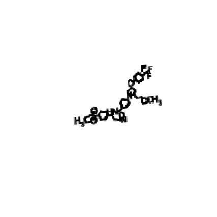 CCS(=O)(=O)c1ccc([C@H](CC#N)NC(=O)c2ccc(N3C[C@@H](Oc4ccc(C(F)(F)F)cc4)C[C@H]3CCOC)cc2)cc1